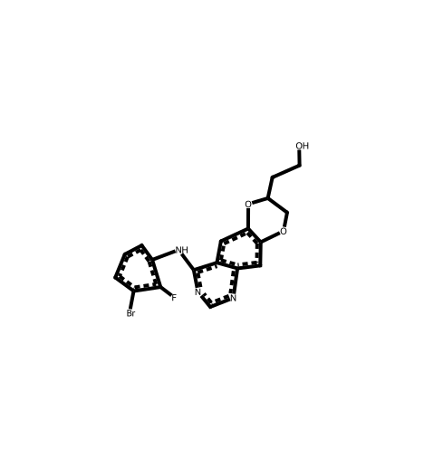 OCCC1COc2cc3ncnc(Nc4cccc(Br)c4F)c3cc2O1